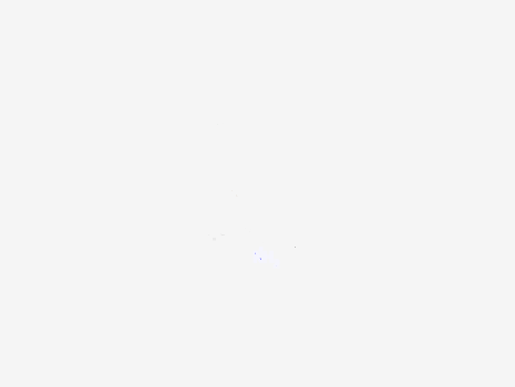 CCCc1c(SCCCBr)ccc(C(C)=O)c1N